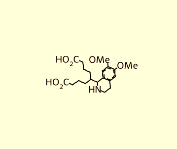 COc1cc2c(cc1OC)C(C(CCCC(=O)O)CCCC(=O)O)NCC2